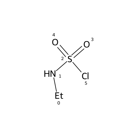 CCNS(=O)(=O)Cl